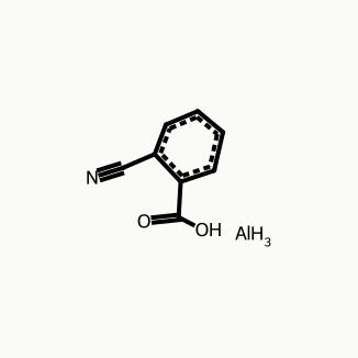 N#Cc1ccccc1C(=O)O.[AlH3]